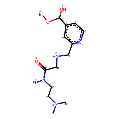 CCOC(O)c1ccnc(CNCC(=O)N(CC)CCN(C)C)c1